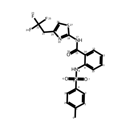 Cc1ccc(S(=O)(=O)Nc2ccccc2C(=O)Nc2nc(CC(F)(F)F)cs2)cc1